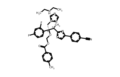 CCNCC.Cc1ccc(C(=O)OCO[C@@](Cn2cncn2)(c2ccc(F)cc2F)[C@@H](C)c2nc(-c3ccc(C#N)cc3)cs2)cc1